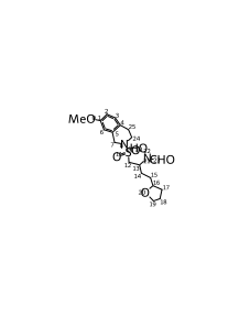 COc1ccc2c(c1)CN(S(=O)(=O)CC(CCC1CCCO1)N(O)C=O)CC2